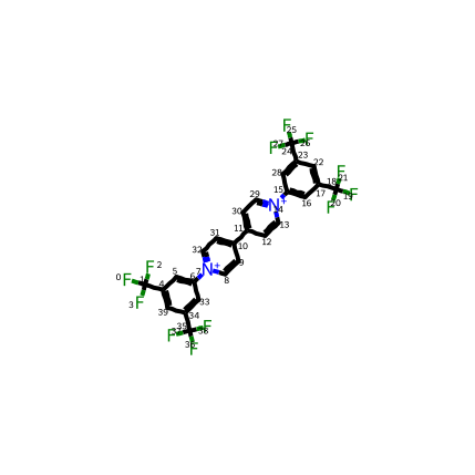 FC(F)(F)c1cc(-[n+]2ccc(-c3cc[n+](-c4cc(C(F)(F)F)cc(C(F)(F)F)c4)cc3)cc2)cc(C(F)(F)F)c1